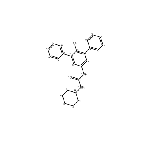 O=C(Nc1cc(-c2ccccc2)c(O)c(-c2ccccc2)c1)NC1CCCCC1